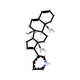 C[C@]12CCC=CC1=CC[C@@H]1C2CC[C@]2(C)C(c3cccnc3)=CCC12